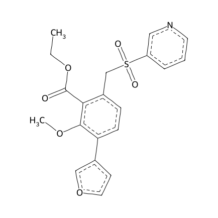 CCOC(=O)c1c(CS(=O)(=O)c2cccnc2)ccc(-c2ccoc2)c1OC